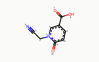 N#CCn1cc(C(=O)O)ccc1=O